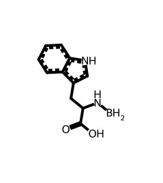 BNC(Cc1c[nH]c2ccccc12)C(=O)O